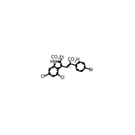 CCOC(=O)c1[nH]c2cc(Cl)cc(Cl)c2c1/C=C(\C(=O)O)c1ccc(Br)cc1